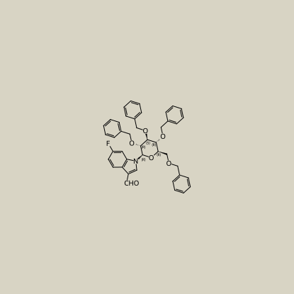 O=Cc1cn([C@@H]2O[C@H](COCc3ccccc3)[C@@H](OCc3ccccc3)[C@H](OCc3ccccc3)[C@H]2OCc2ccccc2)c2cc(F)ccc12